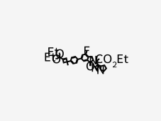 CCOC(=O)C(c1ncn2c1CCC2)N1Cc2c(F)cc(-c3ccc(C4(C)C=C(C(OCC)OCC)C4)cc3)cc2C1=O